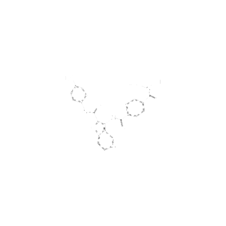 Cc1ccc(NC(=O)c2oc3ccncc3c2NC(=O)c2ccc(C(=O)N(C)C)cc2)cc1